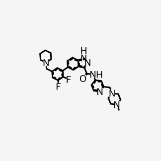 CN1CCN(Cc2cc(NC(=O)c3n[nH]c4ccc(-c5cc(CN6CCCCC6)cc(F)c5F)cc34)ccn2)CC1